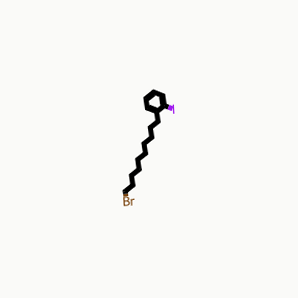 BrCCCCCCCCCCc1ccccc1I